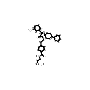 O=C(O)CCNC(=O)c1ccc(CCN2C(=O)C(c3cccc(C(F)(F)F)c3)=NC23CCC(c2ccccc2)CC3)cc1